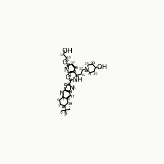 CC(C)(C)[C@H]1CCc2nc3sc(C(=O)N[C@H](CCN4CCC(O)CC4)c4ccc(OCCO)nc4)nc3cc2C1